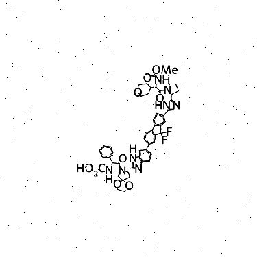 COC(=O)N[C@H](C(=O)N1CCCC1c1ncc(-c2ccc3c(c2)C(F)(F)c2cc(-c4ccc5nc([C@@H]6CC7(CN6C(=O)[C@H](NC(=O)O)c6ccccc6)OCCO7)[nH]c5c4)ccc2-3)[nH]1)C1CCOCC1